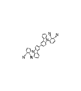 N#Cc1cccc(-n2c3ccccc3c3cc(-c4ccc5c(c4)c4ccccc4n5-c4cccc(C#N)c4C#N)ccc32)c1C#N